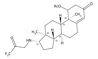 CC(=O)OC1CC(=O)C=C2CC[C@H]3[C@@H]4CC[C@H](NCC(=O)C(F)(F)F)[C@@]4(C)CC[C@@H]3[C@]21C